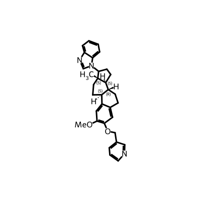 COc1cc2c(cc1OCc1cccnc1)CC[C@@H]1[C@@H]2CC[C@]2(C)C(n3cnc4ccccc43)CC[C@@H]12